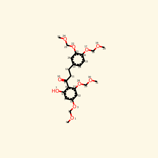 COCOc1cc(O)c(C(=O)CCc2ccc(OCOC)c(OCOC)c2)c(OCOC)c1